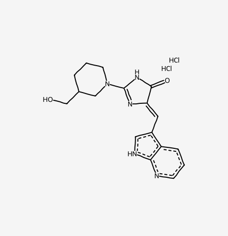 Cl.Cl.O=C1NC(N2CCCC(CO)C2)=NC1=Cc1c[nH]c2ncccc12